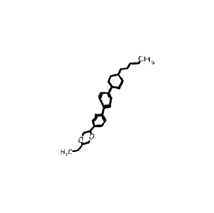 CCCCCC1CCC(c2ccc(-c3ccc(C4COC(CC)CO4)cc3)cc2)CC1